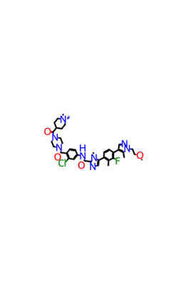 COCCn1ncc(-c2ccc(-c3cnc(C(=O)Nc4ccc(C(=O)N5CCN(C(=O)C6CC[N+](C)(C)CC6)CC5)c(Cl)c4)n3C)c(C)c2F)c1C